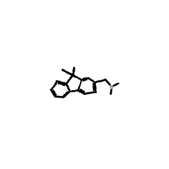 CN(C)Cc1ccc2c(c1)C(C)(C)c1ccccc1-2